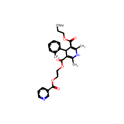 COCCOC(=O)C1=C(C)NC(C)=C(C(=O)OCCOC(=O)c2cccnc2)C1c1ccccc1C(F)(F)F